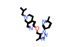 Cc1ccc(-n2nnc(C)c2COc2cc3c(cn2)CN(CC(C)C)CC3)cn1